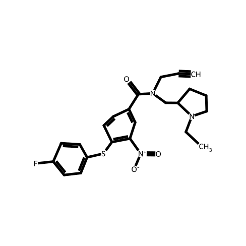 C#CCN(CC1CCCN1CC)C(=O)c1ccc(Sc2ccc(F)cc2)c([N+](=O)[O-])c1